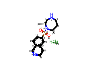 C[C@@H]1CCNC[C@H](C)N1S(=O)(=O)c1ccc2cnccc2c1.Cl.Cl